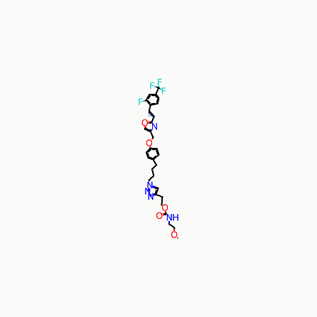 COCCNC(=O)OCCc1cn(CCCCc2ccc(OCc3coc(/C=C/c4ccc(C(F)(F)F)cc4F)n3)cc2)nn1